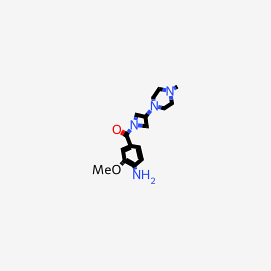 COc1cc(C(=O)N2CC(N3CCN(C)CC3)C2)ccc1N